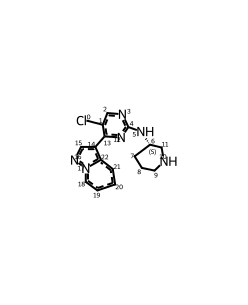 Clc1cnc(N[C@H]2CCCNC2)nc1-c1cnn2ccccc12